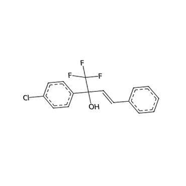 OC(C=Cc1ccccc1)(c1ccc(Cl)cc1)C(F)(F)F